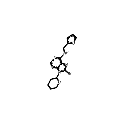 Brc1nc2c(NCc3ccco3)ncnc2n1C1CCCCO1